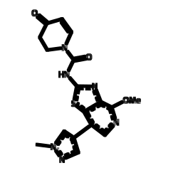 COc1ncc(-c2cnn(C)c2)c2sc(NC(=O)N3C=CC(=O)CC3)nc12